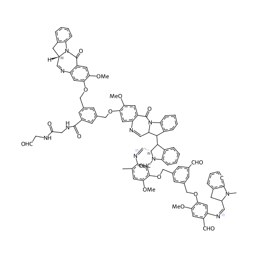 COc1cc2c(cc1OCc1cc(COc3cc4c(cc3OC)C(=O)N3c5ccccc5C[C@H]3C=N4)cc(C(=O)NCC(=O)NCC=O)c1)N=CC1C(C3c4ccccc4N(C=O)[C@@H]3/C=N\c3cc(OCc4cc(C=O)cc(COc5cc(/N=C\C6Cc7ccccc7N6C)c(C=O)cc5OC)c4)c(OC)cc3C)c3ccccc3N1C2=O